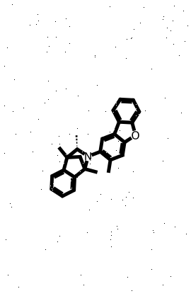 Cc1cc2oc3ccccc3c2cc1N1[C@@H](C)C2(C)CC1(C)c1ccccc12